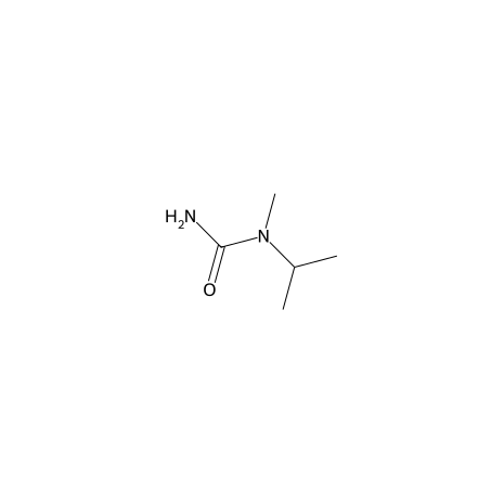 CC(C)N(C)C(N)=O